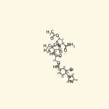 CC(=O)O[C@@H]1C[C@@H](C(N)=O)N(C(=O)[C@@H](NC(=O)CONc2ccc(-n3ccnc3)c(Br)c2)C(C)(C)C)C1